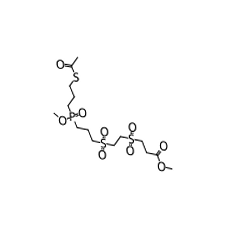 COC(=O)CCS(=O)(=O)CCS(=O)(=O)CCCP(=O)(CCCSC(C)=O)OC